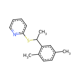 Cc1ccc(C)c(C(C)Sc2ccccn2)c1